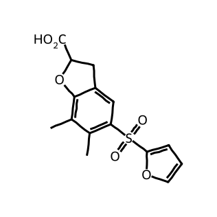 Cc1c(S(=O)(=O)c2ccco2)cc2c(c1C)OC(C(=O)O)C2